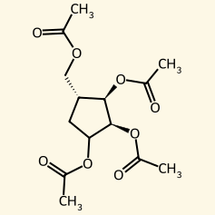 CC(=O)OC[C@H]1CC(OC(C)=O)[C@H](OC(C)=O)[C@@H]1OC(C)=O